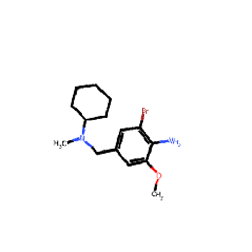 COc1cc(CN(C)C2CCCCC2)cc(Br)c1N